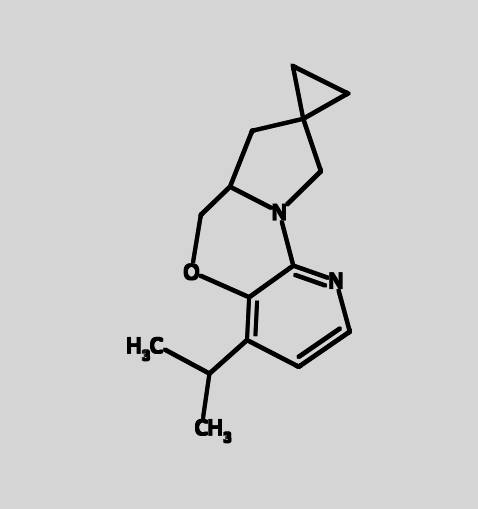 CC(C)c1ccnc2c1OCC1CC3(CC3)CN21